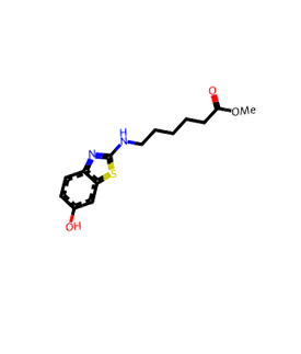 COC(=O)CCCCCNc1nc2ccc(O)cc2s1